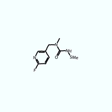 CSNC(=O)N(C)Cc1ccc(F)nc1